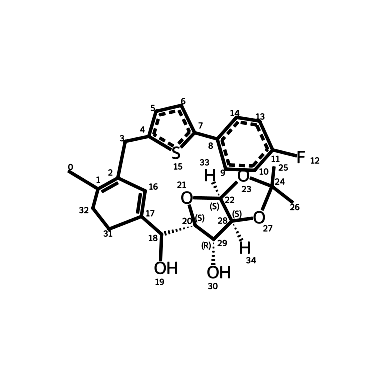 CC1=C(Cc2ccc(-c3ccc(F)cc3)s2)C=C(C(O)[C@@H]2O[C@H]3OC(C)(C)O[C@H]3[C@@H]2O)CC1